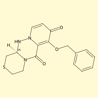 O=C1c2c(OCc3ccccc3)c(=O)ccn2N[C@@H]2CSCCN12